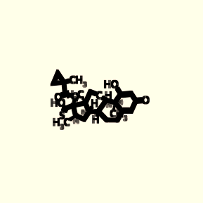 C[C@@H]1C[C@H]2[C@@H]3CCC4=CC(=O)C=C(O)[C@]4(C)[C@H]3CC[C@]2(C)[C@@]1(OC(=O)C1(C)CC1)C(O)=S